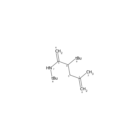 C=C(C)CC(C(=C)NC(C)(C)C)C(C)(C)C